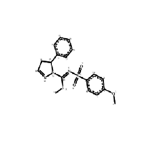 COc1ccc(S(=O)(=O)N=C(SC)N2N=CCC2c2ccccc2)cc1